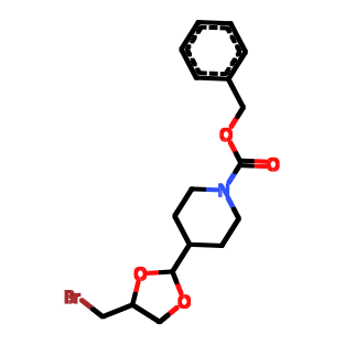 O=C(OCc1ccccc1)N1CCC(C2OCC(CBr)O2)CC1